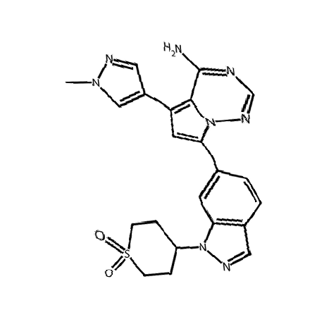 Cn1cc(-c2cc(-c3ccc4cnn(C5CCS(=O)(=O)CC5)c4c3)n3ncnc(N)c23)cn1